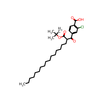 CCCCCCCCCCCCCCCCC(C(=O)OC(C)(C)C)C(=O)c1ccc(C(=O)O)c(Cl)c1